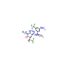 C[C@@H](Nc1ncnc2c1cc(C1(C(F)F)CC1)c(=O)n2C)c1cc(N)cc(C(F)(F)F)c1